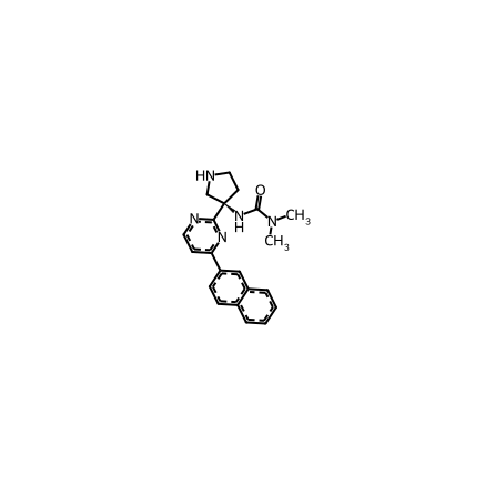 CN(C)C(=O)N[C@]1(c2nccc(-c3ccc4ccccc4c3)n2)CCNC1